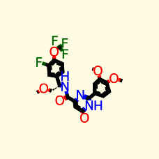 COC[C@@H](NC(=O)c1cc(=O)[nH]c(-c2ccc(OC)c(OC)c2)n1)c1ccc(OC(F)(F)F)c(F)c1